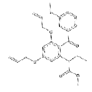 C=CCOc1cc(OCC=C)c(C(=O)c2cccc(SC)c2)c(C(CC)C(=O)OC)c1